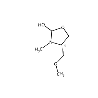 COC[C@H]1COC(O)N1C